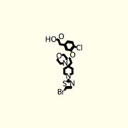 O=C(O)Cc1ccc(Cl)c(OCCC2(N3CCOCC3)CCN(c3ncc(Br)s3)CC2)c1